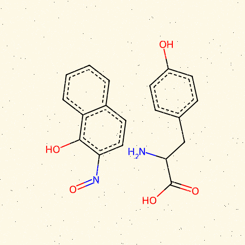 NC(Cc1ccc(O)cc1)C(=O)O.O=Nc1ccc2ccccc2c1O